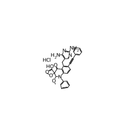 COC1N(c2ccccc2)c2ccc(C#Cc3ccccc3)c(Cc3cnc(N)nc3N)c2C(=O)C1(OC)C(=O)O.Cl